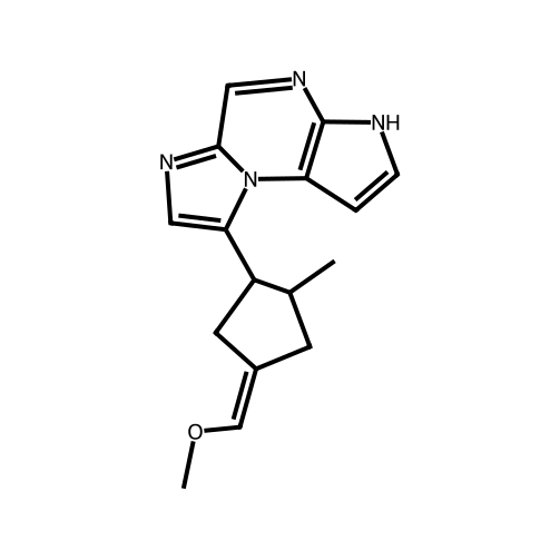 COC=C1CC(C)C(c2cnc3cnc4[nH]ccc4n23)C1